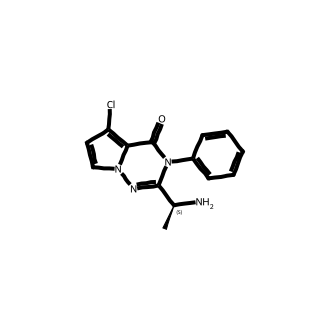 C[C@H](N)c1nn2ccc(Cl)c2c(=O)n1-c1ccccc1